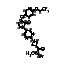 CC(C)N(C)C(=O)C1CN(c2ncc(N3CC[C@@H](Oc4ccc(OCC(F)(F)F)nc4)C3=O)cn2)C1